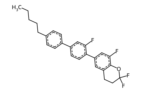 CCCCCc1ccc(-c2ccc(-c3cc(F)c4c(c3)CCC(F)(F)O4)c(F)c2)cc1